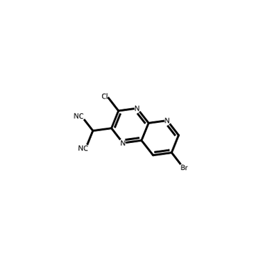 N#CC(C#N)c1nc2cc(Br)cnc2nc1Cl